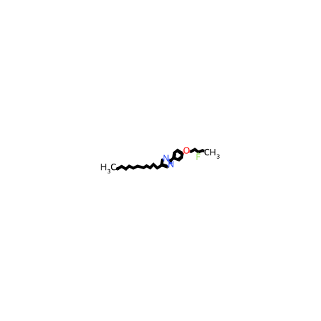 CCCCCCCCCCCCc1cnc(-c2ccc(OCCC(F)CC)cc2)nc1